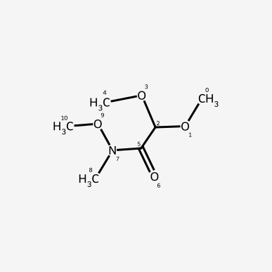 COC(OC)C(=O)N(C)OC